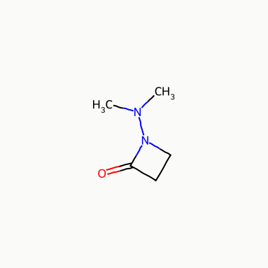 CN(C)N1CCC1=O